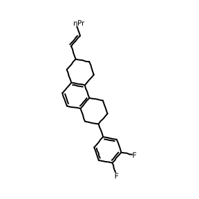 CCCC=CC1CCc2c(ccc3c2CCC(c2ccc(F)c(F)c2)C3)C1